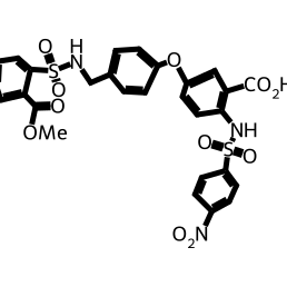 COC(=O)c1ccccc1S(=O)(=O)NCc1ccc(Oc2ccc(NS(=O)(=O)c3ccc([N+](=O)[O-])cc3)c(C(=O)O)c2)cc1